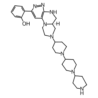 Oc1ccccc1-c1cc2c(nn1)NC[C@H]1CN(C3CCN(C4CCN(C5CCNCC5)CC4)CC3)CCN21